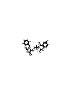 Cc1ccc2c(c1)C(=O)N(C(C)(C)COC1C(=O)SC(=O)N1Cc1ccccc1)C(C)O2